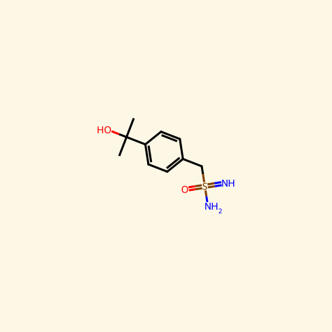 CC(C)(O)c1ccc(CS(=N)(N)=O)cc1